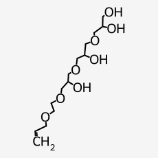 C=CCOCCOCC(O)COCC(O)COCC(O)CO